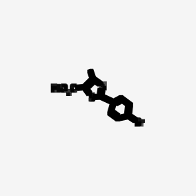 CCOC(=O)c1sc(-c2ccc(Br)cc2)nc1C